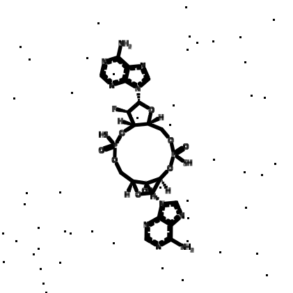 Nc1ncnc2c1ncn2[C@@H]1O[C@@H]2COP(=O)(S)O[C@@H]3[C@H](O)[C@@H](COP(=O)(S)O[C@@H]2[C@H]1F)O[C@H]3n1cnc2c(N)ncnc21